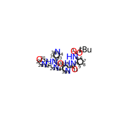 CC(C)(C)OC(=O)Nc1ccccc1NC(=O)c1ccc(CN(CCCN2CCOCC2)C(=O)Nc2ccncc2)cn1